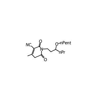 CCCCCOC(CCC)CCN1C(=O)CC(C)=C(C#N)C1=O